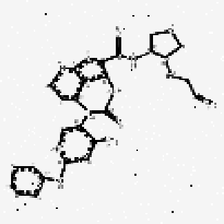 C=CCN[C@@H]1COC[C@@H]1NC(=O)c1sc2nccc3c2c1NC(=O)N3c1cnc(Oc2ccccc2)cc1C